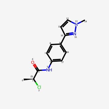 C[C@H](Cl)C(=O)Nc1ccc(-c2ccn(C)n2)cc1